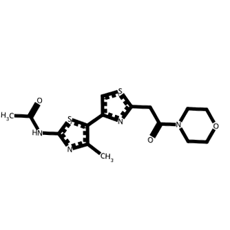 CC(=O)Nc1nc(C)c(-c2csc(CC(=O)N3CCOCC3)n2)s1